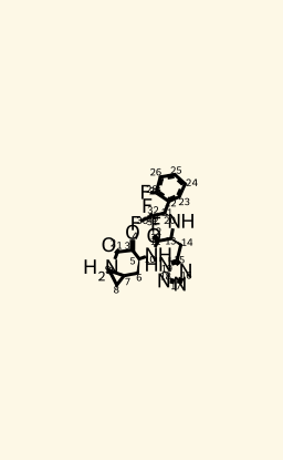 NC(=O)C(=O)[C@H](CC1CC1)NC(=O)[C@H](Cc1nnn[nH]1)N[C@@H](c1ccccc1F)C(F)(F)F